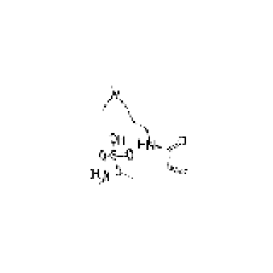 C=CC(=O)NCCCN(C)C.COS(=O)(=O)O.N